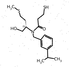 CSCC[C@@H](CO)N(Cc1cccc(C(C)C)c1)C(=O)CCS